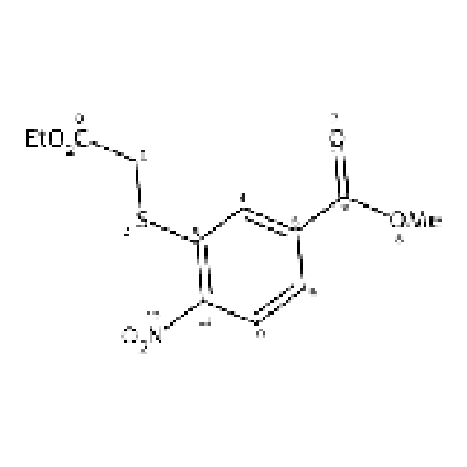 CCOC(=O)CSc1cc(C(=O)OC)ccc1[N+](=O)[O-]